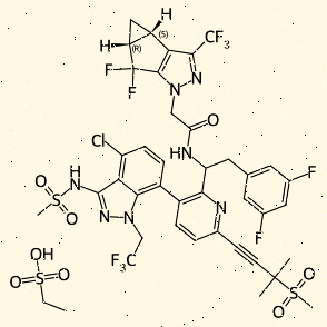 CC(C)(C#Cc1ccc(-c2ccc(Cl)c3c(NS(C)(=O)=O)nn(CC(F)(F)F)c23)c(C(Cc2cc(F)cc(F)c2)NC(=O)Cn2nc(C(F)(F)F)c3c2C(F)(F)[C@@H]2C[C@H]32)n1)S(C)(=O)=O.CCS(=O)(=O)O